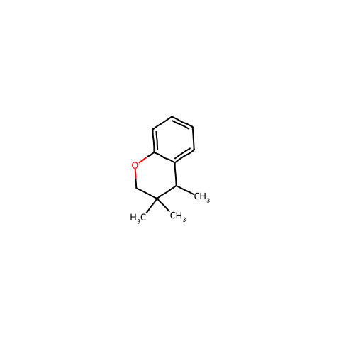 CC1c2ccccc2OCC1(C)C